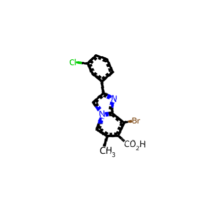 Cc1cn2cc(-c3cccc(Cl)c3)nc2c(Br)c1C(=O)O